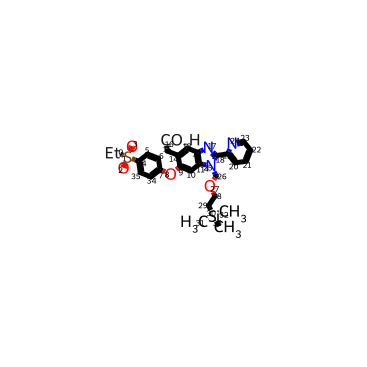 CCS(=O)(=O)c1ccc(Oc2cc3c(cc2CC(=O)O)nc(-c2ccccn2)n3COCC[Si](C)(C)C)cc1